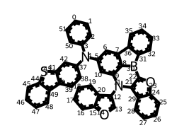 c1ccc(N(c2cc3c4c(c2)N(c2coc5ccccc25)c2c(oc5ccccc25)B4c2ccccc2-3)c2ccc3c(c2)sc2ccccc23)cc1